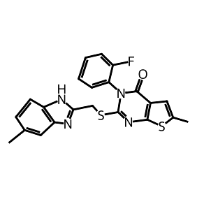 Cc1ccc2[nH]c(CSc3nc4sc(C)cc4c(=O)n3-c3ccccc3F)nc2c1